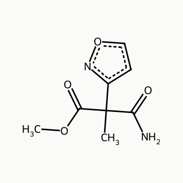 COC(=O)C(C)(C(N)=O)c1ccon1